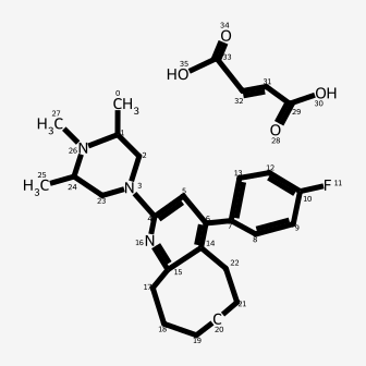 CC1CN(c2cc(-c3ccc(F)cc3)c3c(n2)CCCCCC3)CC(C)N1C.O=C(O)C=CC(=O)O